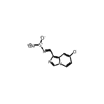 CC(C)(C)[S+]([O-])N=Cc1ncn2ccc(Cl)cc12